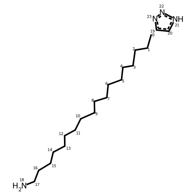 CCCCCCCCCCCCCCCCCCN.c1c[nH]nn1